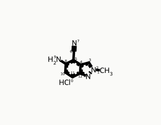 Cl.Cn1cc2c(C#N)c(N)ccc2n1